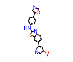 COc1cncc(-c2ccc3nc(Nc4ccc(-c5cnco5)cc4)sc3c2)c1